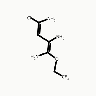 NC(/C=C(\N)Cl)=C(/N)OCC(F)(F)F